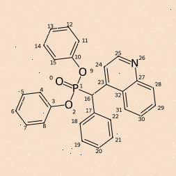 O=P(Oc1ccccc1)(Oc1ccccc1)C(c1ccccc1)c1ccnc2ccccc12